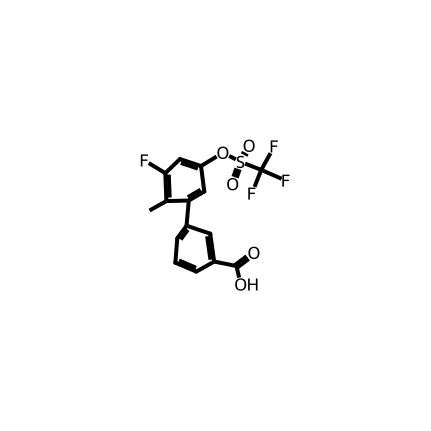 Cc1c(F)cc(OS(=O)(=O)C(F)(F)F)cc1-c1cccc(C(=O)O)c1